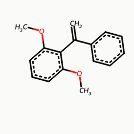 C=C(c1ccccc1)c1c(OC)cccc1OC